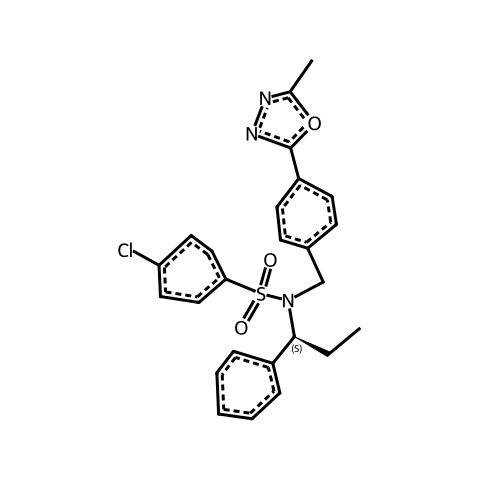 CC[C@@H](c1ccccc1)N(Cc1ccc(-c2nnc(C)o2)cc1)S(=O)(=O)c1ccc(Cl)cc1